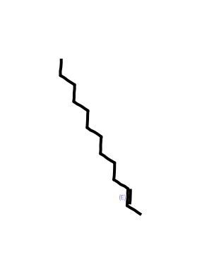 C/C=C/CCCCCCCCCC